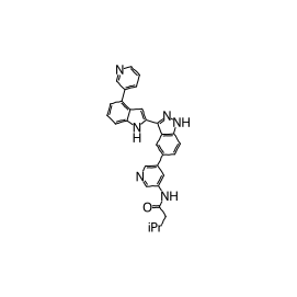 CC(C)CC(=O)Nc1cncc(-c2ccc3[nH]nc(-c4cc5c(-c6cccnc6)cccc5[nH]4)c3c2)c1